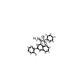 Cc1cccnc1-c1cc2cccnc2c(N(N)S(=O)(=O)c2ccccc2)n1